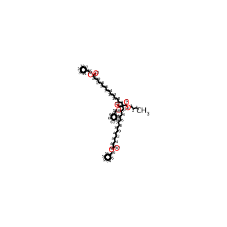 CCCCOC(=O)C(CCCCCCCCCCCCCCC(=O)OCc1ccccc1)(CCCCCCCCCCCCCCC(=O)OCc1ccccc1)C(=O)OCc1ccccc1